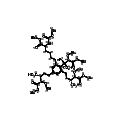 CCCC(C(=O)O)(c1c(CC[C@@H](C(=O)O)N(OC(C)(C)C)C(=O)OC(C)(C)C)cc(CC[C@@H](C(=O)O)N(OC(C)(C)C)C(=O)OC(C)(C)C)c[n+]1CCCC[C@H](NC(=O)OC(C)(C)C)C(=O)OC(C)(C)C)N(OC(C)(C)C)C(=O)OC(C)(C)C